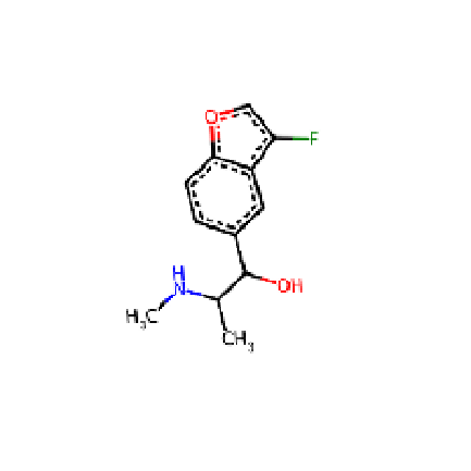 CNC(C)C(O)c1ccc2occ(F)c2c1